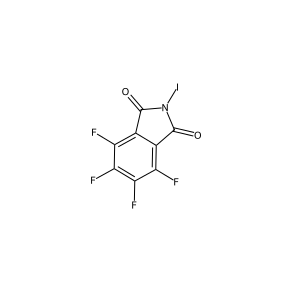 O=C1c2c(F)c(F)c(F)c(F)c2C(=O)N1I